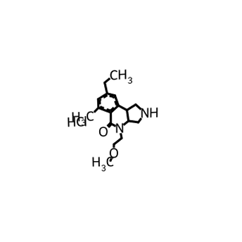 CCc1cc(C)c2c(c1)C1CNCC1N(CCOC)C2=O.Cl